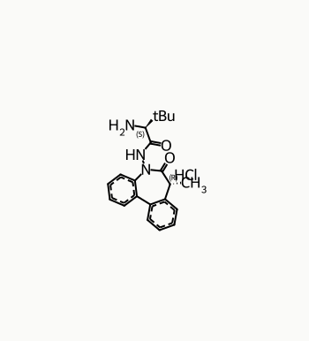 C[C@H]1C(=O)N(NC(=O)[C@@H](N)C(C)(C)C)c2ccccc2-c2ccccc21.Cl